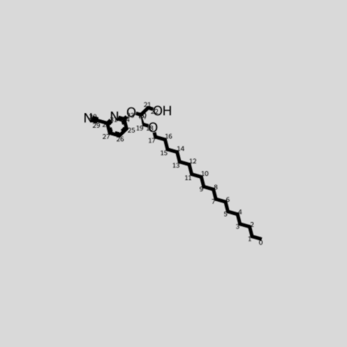 CCCCCCCCCCCCCCCCCCOC[C@H](CO)Oc1cccc(C#N)n1